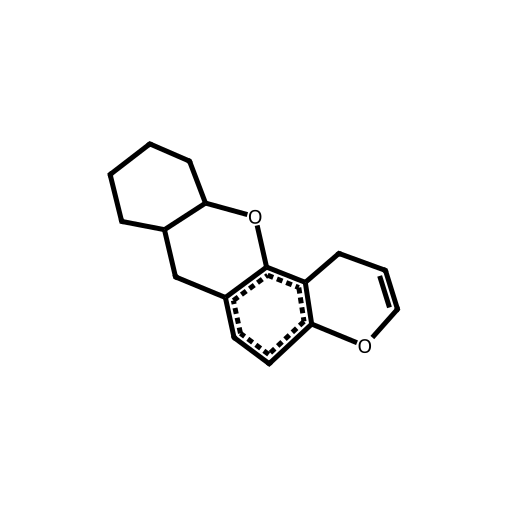 C1=COc2ccc3c(c2C1)OC1CCCCC1C3